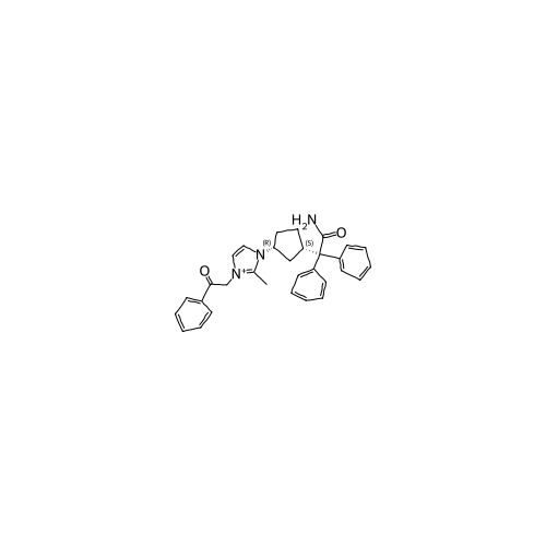 Cc1n([C@@H]2CC[C@H](C(C(N)=O)(c3ccccc3)c3ccccc3)C2)cc[n+]1CC(=O)c1ccccc1